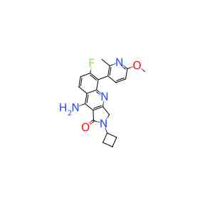 COc1ccc(-c2c(F)ccc3c(N)c4c(nc23)CN(C2CCC2)C4=O)c(C)n1